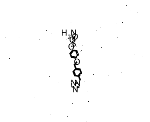 NOOSOc1ccc(OCc2ccc(Cn3cncn3)cc2)cc1